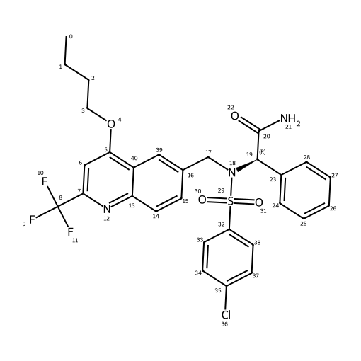 CCCCOc1cc(C(F)(F)F)nc2ccc(CN([C@@H](C(N)=O)c3ccccc3)S(=O)(=O)c3ccc(Cl)cc3)cc12